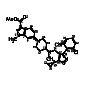 COC(=O)c1cn(C)c2cc(N3CCC(N(C)Cc4c(-c5c(Cl)cccc5Cl)noc4C4CC4)CC3)ccc12